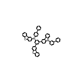 c1ccc(-c2ccc(N(c3cc(-c4ccc5sc6ccccc6c5c4)cc(-c4ccc5c(c4)c4ccccc4n5-c4cccc(-c5ccccc5)c4)c3)c3ccc4oc5ccccc5c4c3)cc2)cc1